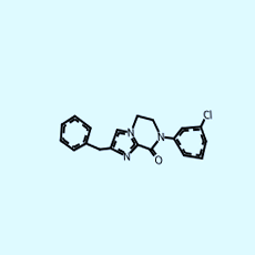 O=C1c2nc(Cc3ccccc3)cn2CCN1c1cccc(Cl)c1